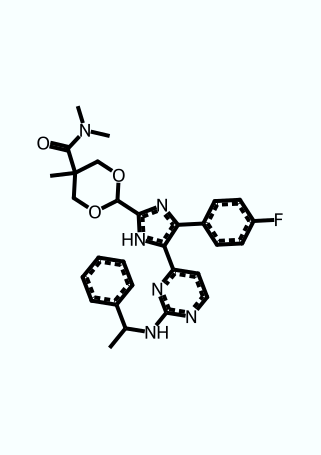 CC(Nc1nccc(-c2[nH]c(C3OCC(C)(C(=O)N(C)C)CO3)nc2-c2ccc(F)cc2)n1)c1ccccc1